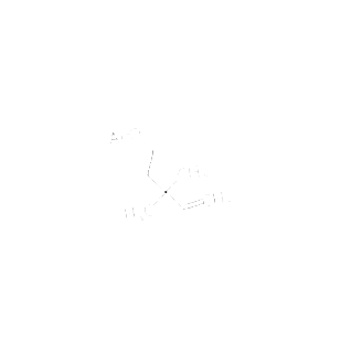 C=CC(C)(C)CCOC(C)=O